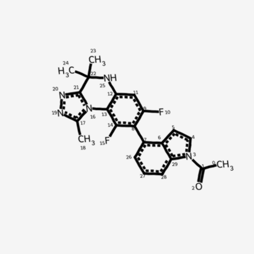 CC(=O)n1ccc2c(-c3c(F)cc4c(c3F)-n3c(C)nnc3C(C)(C)N4)cccc21